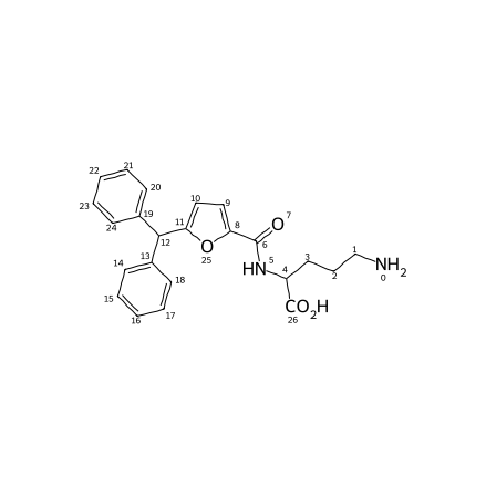 NCCCC(NC(=O)c1ccc(C(c2ccccc2)c2ccccc2)o1)C(=O)O